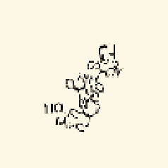 COCC1=C(C(=O)O)N2C(=O)C(NC(=O)C(C#N)[S+](C)[O-])[C@@H]2SC1